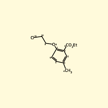 CCOC(=O)c1cc(C)ccc1OCCCl